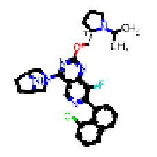 CC(C)N1CCC[C@H]1COc1nc(N2CC3CCC(C2)N3)c2cnc(-c3cccc4cccc(Cl)c34)c(F)c2n1